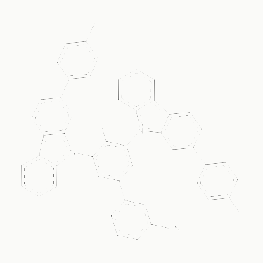 Cc1ccc(-c2ccc3c4ccccc4n(-c4cc(-c5cccc(C#N)c5)cc(-n5c6ccccc6c6ccc(-c7ccc(C)cc7)cc65)c4C(F)(F)F)c3c2)cc1